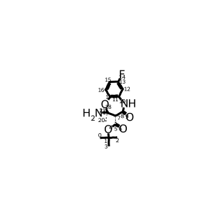 CC(C)(C)OC(=O)[C@H]1C(=O)Nc2cc(F)ccc2O[C@]1(C)N